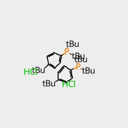 CC(C)(C)c1ccc(P(C(C)(C)C)C(C)(C)C)cc1.CC(C)(C)c1ccc(P(C(C)(C)C)C(C)(C)C)cc1.Cl.Cl